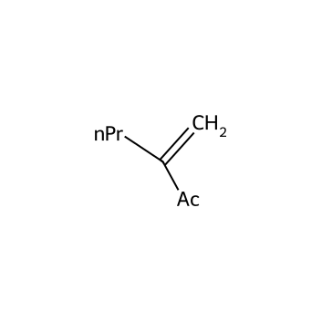 C=C(CCC)C(C)=O